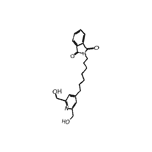 O=C1c2ccccc2C(=O)N1CCCCCCCc1cc(CO)nc(CO)c1